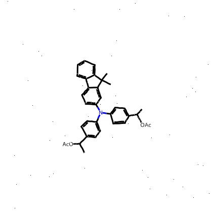 CC(=O)OC(C)c1ccc(N(c2ccc(C(C)OC(C)=O)cc2)c2ccc3c(c2)C(C)(C)c2ccccc2-3)cc1